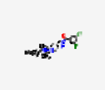 C=C(CN1CCC(CNC(=O)c2cc(F)cc(Cl)c2)CC1)NC(C)(C)COC